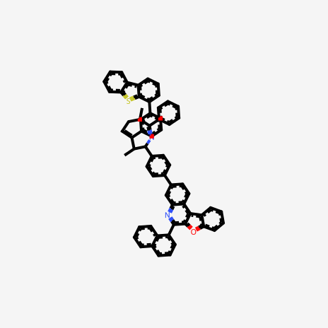 CC1C/C=C(\c2cccc(-c3cccc4c3sc3ccccc34)c2)C(C)C(c2ccc(-c3ccc4c(c3)nc(-c3cccc5ccccc35)c3oc5ccccc5c34)cc2)/N=C\1c1ccccc1